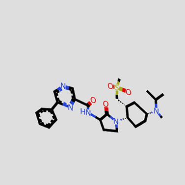 CC(C)N(C)[C@@H]1CC[C@H](N2CCC(NC(=O)c3cncc(-c4ccccc4)n3)C2=O)[C@H](CS(C)(=O)=O)C1